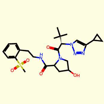 CC(C)(C)[C@@H](C(=O)N1CC(O)CC1C(=O)NCCc1ccccc1S(C)(=O)=O)n1cc(C2CC2)nn1